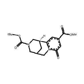 COC(=O)c1cc2n(c(=O)c1)CC1C[C@H]2CN(C(=O)OC(C)(C)C)C1